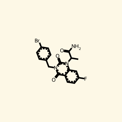 CC(C(N)=O)n1c(=O)n(Cc2ccc(Br)cc2)c(=O)c2ccc(F)cc21